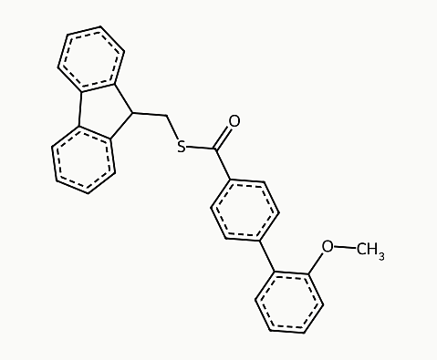 COc1ccccc1-c1ccc(C(=O)SCC2c3ccccc3-c3ccccc32)cc1